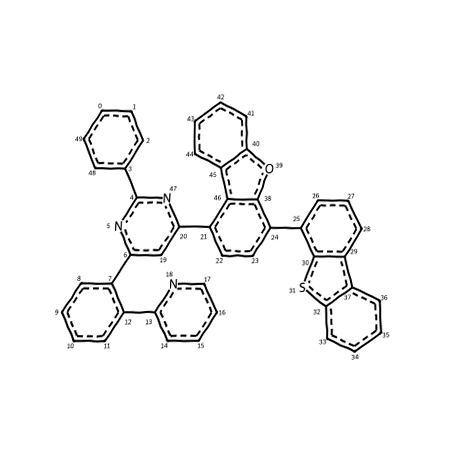 c1ccc(-c2nc(-c3ccccc3-c3ccccn3)cc(-c3ccc(-c4cccc5c4sc4ccccc45)c4oc5ccccc5c34)n2)cc1